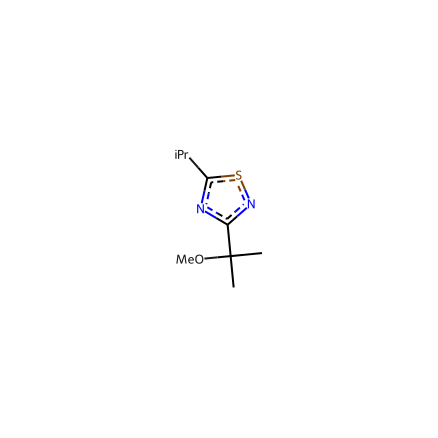 COC(C)(C)c1nsc(C(C)C)n1